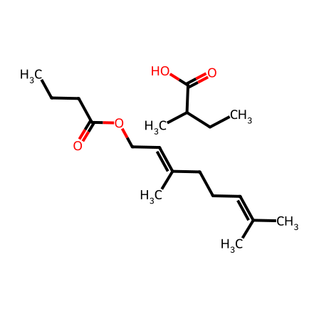 CCC(C)C(=O)O.CCCC(=O)OC/C=C(\C)CCC=C(C)C